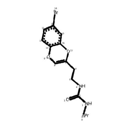 CCCNC(=O)NCCC1=COc2ccc(Br)cc2O1